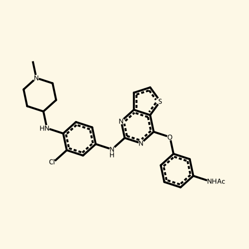 CC(=O)Nc1cccc(Oc2nc(Nc3ccc(NC4CCN(C)CC4)c(Cl)c3)nc3ccsc23)c1